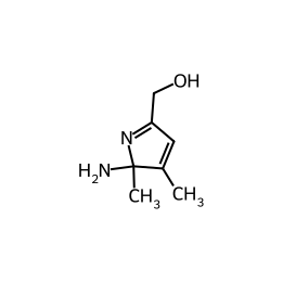 CC1=CC(CO)=NC1(C)N